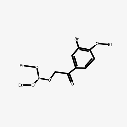 CCOc1ccc(C(=O)COP(OCC)OCC)cc1Br